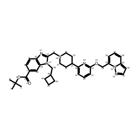 CC(C)(C)OC(=O)c1ccc2nc(CN3CCC(c4cccc(OCc5cccc6ccnn56)n4)CC3)n(CC3CCC3)c2c1